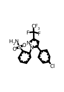 NS(=O)(=O)c1ccccc1-n1nc(C(F)(F)C(F)(F)F)cc1-c1ccc(Cl)cc1